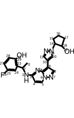 CC(Nc1ccn2ncc(-c3cnn(C4CCCC4O)c3)c2n1)c1cc(F)ccc1O